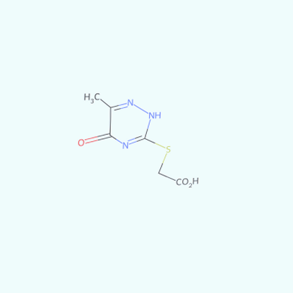 Cc1n[nH]c(SCC(=O)O)nc1=O